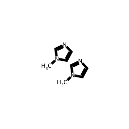 Cn1ccnc1.Cn1ccnc1